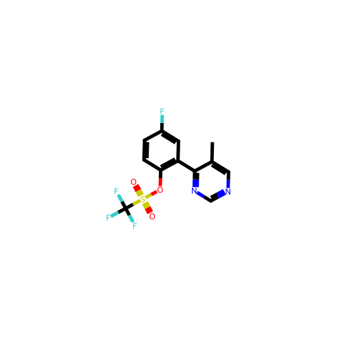 Cc1cncnc1-c1cc(F)ccc1OS(=O)(=O)C(F)(F)F